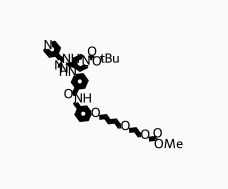 COC(=O)COCCCOCCCCCOc1cccc(CNC(=O)c2cccc(NC3(c4nnc(-c5ccncc5)[nH]4)CCN(C(=O)OC(C)(C)C)CC3)c2)c1